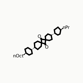 CCCCCCCC[C@H]1CC[C@H](C2CCC3(CC2)C(=O)C2(CCC([C@H]4CC[C@H](CCC)CC4)CC2)C3=O)CC1